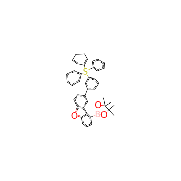 CC1(C)OB(c2cccc3oc4ccc(-c5cccc(S(C6=CCCC=C6)(c6ccccc6)c6ccccc6)c5)cc4c23)OC1(C)C